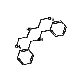 CCCNCCC.c1ccc(CNCc2ccccc2)cc1